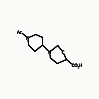 CC(=O)N1CCC(N2CCC(C(=O)O)CC2)CC1